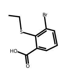 CCSc1c(Br)cccc1C(=O)O